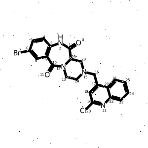 O=C1Nc2ccc(Br)cc2C(=O)N2CCN(Cc3cc(Cl)nc4ccccc34)CC12